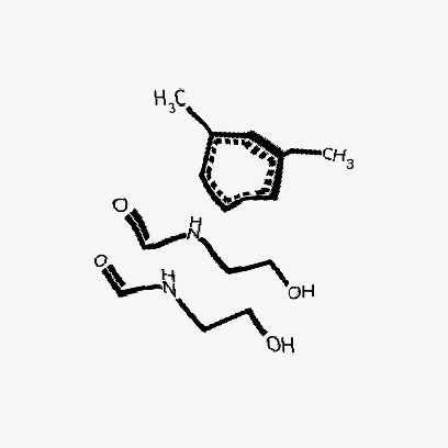 Cc1cccc(C)c1.O=CNCCO.O=CNCCO